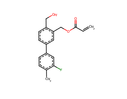 C=CC(=O)OCc1cc(-c2ccc(C)c(F)c2)ccc1CO